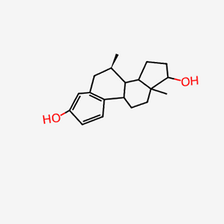 C[C@@H]1Cc2cc(O)ccc2C2CCC3(C)C(O)CCC3C21